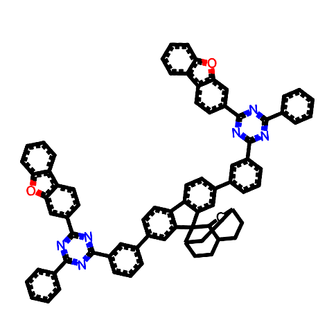 c1ccc(-c2nc(-c3cccc(-c4ccc5c(c4)C4(c6cc(-c7cccc(-c8nc(-c9ccccc9)nc(-c9ccc%10c(c9)oc9ccccc9%10)n8)c7)ccc6-5)C5CCC6CCC(C5)CC64)c3)nc(-c3ccc4c(c3)oc3ccccc34)n2)cc1